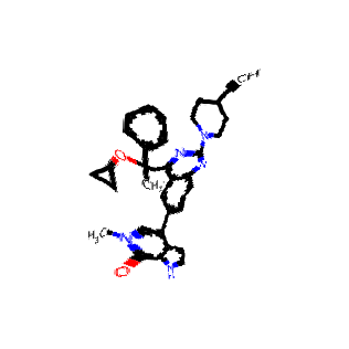 C#CC1CCN(c2nc(C([CH2])(OC3CC3)c3ccccc3)c3cc(-c4cn(C)c(=O)c5[nH]ccc45)ccc3n2)CC1